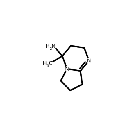 CC1(N)CCN=C2CCCN21